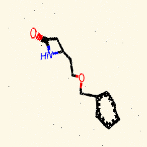 O=C1CC(CCOCc2ccccc2)N1